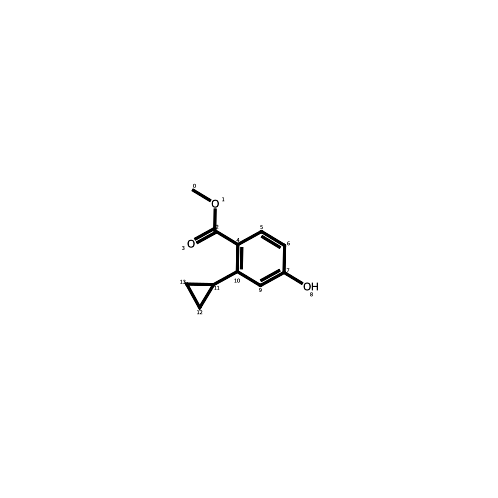 COC(=O)c1ccc(O)cc1C1CC1